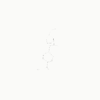 CCCOC1CC2CC1C(C)N2c1ccc(C(=O)OC)cn1